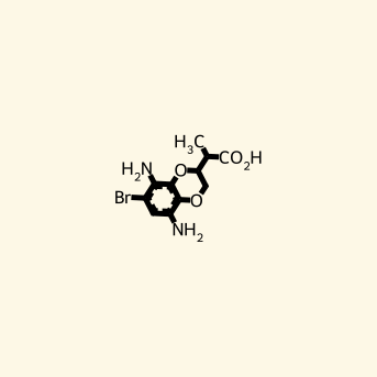 CC(C(=O)O)C1COc2c(N)cc(Br)c(N)c2O1